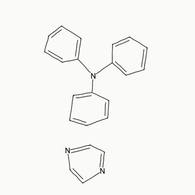 c1ccc(N(c2ccccc2)c2ccccc2)cc1.c1cnccn1